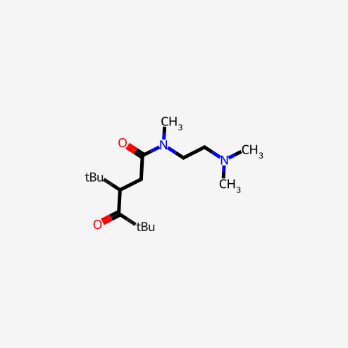 CN(C)CCN(C)C(=O)CC(C(=O)C(C)(C)C)C(C)(C)C